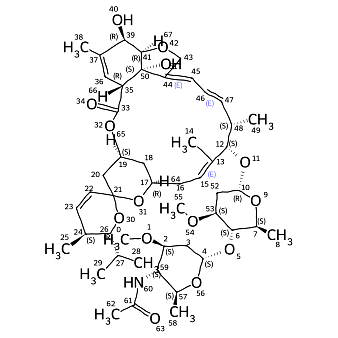 CO[C@H]1C[C@H](O[C@H]2[C@H](C)O[C@@H](O[C@@H]3/C(C)=C/C[C@@H]4C[C@@H](CC5(C=C[C@H](C)[C@@H](C(C)C)O5)O4)OC(=O)[C@@H]4C=C(C)[C@@H](O)[C@H]5OC/C(=C\C=C\[C@@H]3C)[C@]54O)C[C@@H]2OC)O[C@@H](C)[C@@H]1NC(C)=O